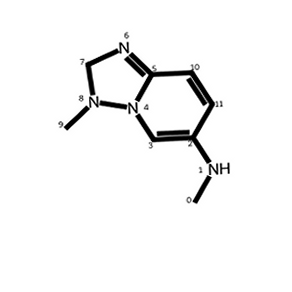 CNC1=CN2C(=NCN2C)C=C1